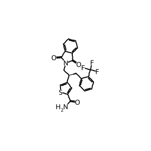 NC(=O)c1cc([C@H](Cc2ccccc2C(F)(F)F)CN2C(=O)c3ccccc3C2=O)cs1